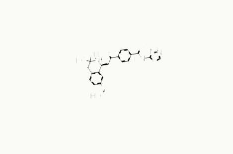 COc1ccc2c(c1)C(=CC(=O)c1ccc(C(=O)Nc3nncs3)cc1)NC(C)(C)C2